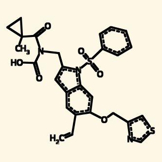 C=Cc1cc2cc(CN(C(=O)O)C(=O)C3(C)CC3)n(S(=O)(=O)c3ccccc3)c2cc1OCc1cscn1